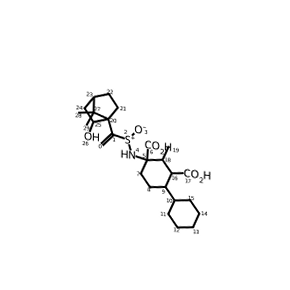 C=C([S+]([O-])NC1(C(=O)O)CCC(C2CCCCC2)C(C(=O)O)C1C)C12CCC(CC1O)C2(C)C